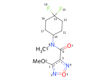 COc1nonc1C(=O)N(C)C1CCC(F)(F)CC1